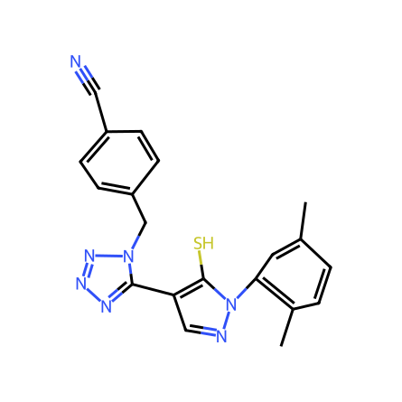 Cc1ccc(C)c(-n2ncc(-c3nnnn3Cc3ccc(C#N)cc3)c2S)c1